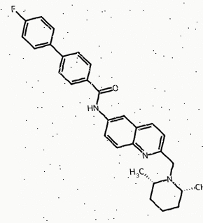 C[C@@H]1CCC[C@H](C)N1Cc1ccc2cc(NC(=O)c3ccc(-c4ccc(F)cc4)cc3)ccc2n1